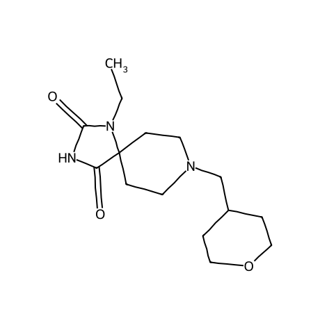 CCN1C(=O)NC(=O)C12CCN(CC1CCOCC1)CC2